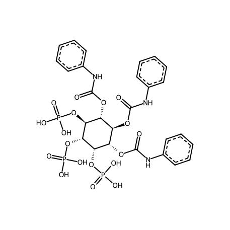 O=C(Nc1ccccc1)O[C@@H]1[C@@H](OC(=O)Nc2ccccc2)[C@H](OP(=O)(O)O)[C@@H](OP(=O)(O)O)[C@@H](OP(=O)(O)O)[C@H]1OC(=O)Nc1ccccc1